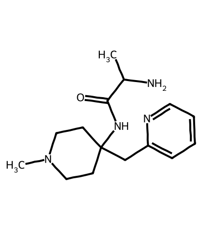 CC(N)C(=O)NC1(Cc2ccccn2)CCN(C)CC1